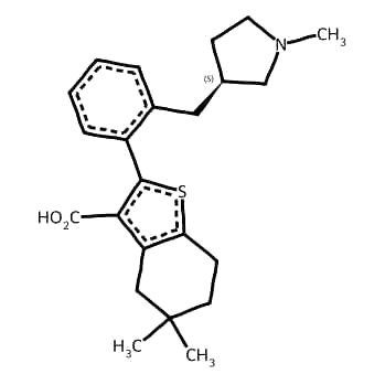 CN1CC[C@H](Cc2ccccc2-c2sc3c(c2C(=O)O)CC(C)(C)CC3)C1